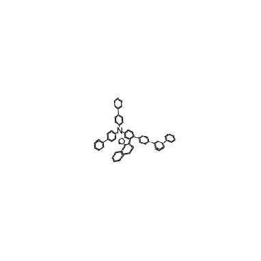 c1ccc(-c2ccc(N(c3ccc(-c4ccccc4)cc3)c3ccc(-c4ccc(-c5cccc(-c6ccccc6)c5)cc4)c4c3oc3c5ccccc5ccc34)cc2)cc1